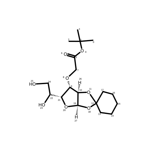 CC(C)(C)OC(=O)CO[C@@H]1[C@H]2OC3(CCCCC3)O[C@H]2O[C@@H]1C(O)CO